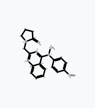 COc1ccc(N(C)c2nc(CN3CCCC3=O)nc3ccccc23)cc1